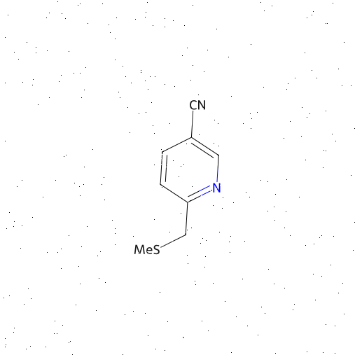 [CH2]SCc1ccc(C#N)cn1